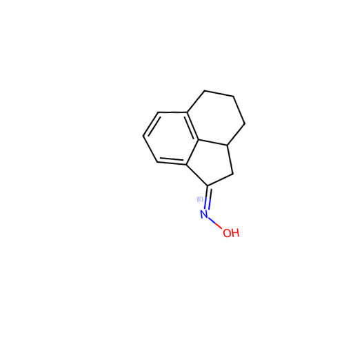 O/N=C1\CC2CCCc3cccc1c32